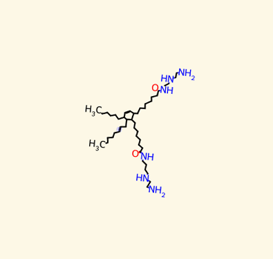 CCCCC/C=C/CC1C(CCCCCC)C=CC(CCCCCCCC(=O)NCCNCCN)C1CCCCCCCC(=O)NCCCCNCCN